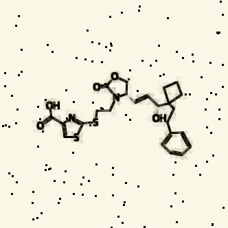 O=C(O)c1csc(SCCN2C(=O)OC[C@@H]2C=C[C@@H](O)C2(CCc3ccccc3)CCC2)n1